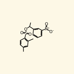 Cc1ccc(S(=O)(=O)OC(C)c2cccc([N+](=O)[O-])c2)c(C)c1